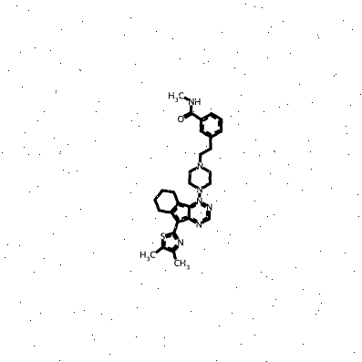 CNC(=O)c1cccc(CCN2CCN(n3ncnc4c(-c5nc(C)c(C)s5)c5c(c3-4)CCCC5)CC2)c1